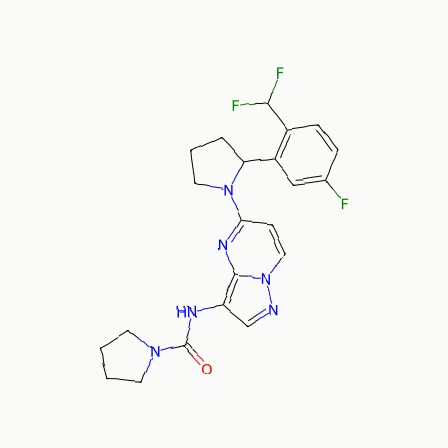 O=C(Nc1cnn2ccc(N3CCCC3c3cc(F)ccc3C(F)F)nc12)N1CCCC1